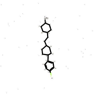 CCCC1CCC(CCC2CCC(c3ccc(F)cc3)CC2)CC1